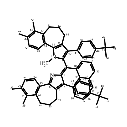 Bn1c(/C(=C2\N=C3C(=C2c2ccc(C(C)(C)C)cc2)CCCc2c3ccc(C)c2C)c2cccc3ccccc23)c(-c2ccc(C(C)(C)C)cc2)c2c1-c1ccc(C)c(C)c1CCC2